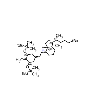 C=C1[C@H](O[Si](C)(C)C(C)(C)C)CC(=C/C=C2\CCC[C@]3(C)[C@@H]([C@@H](C)CCCC(C)(C)C)CC[C@@H]23)C[C@H]1O[Si](C)(C)C(C)(C)C